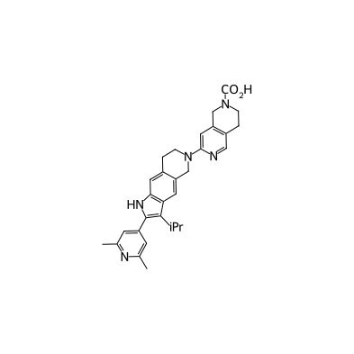 Cc1cc(-c2[nH]c3cc4c(cc3c2C(C)C)CN(c2cc3c(cn2)CCN(C(=O)O)C3)CC4)cc(C)n1